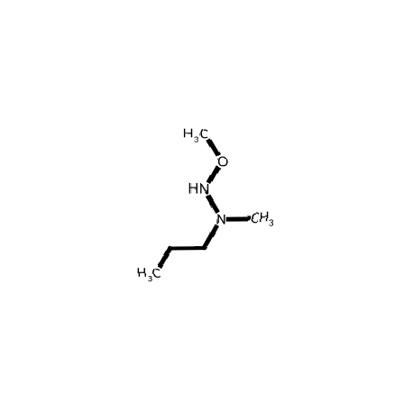 CCCN(C)NOC